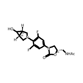 CC(=O)NC[C@H]1CN(c2cc(F)c(N3C[C@@H]4C(O)[C@@H]4C3)c(F)c2)C(=O)O1